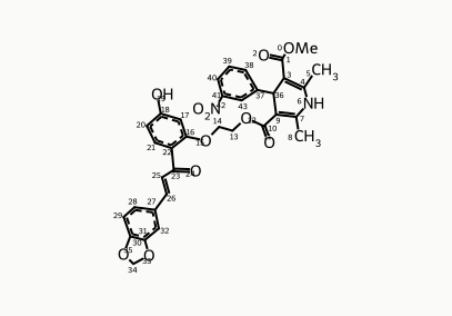 COC(=O)C1=C(C)NC(C)=C(C(=O)OCCOc2cc(O)ccc2C(=O)/C=C/c2ccc3c(c2)OCO3)C1c1cccc([N+](=O)[O-])c1